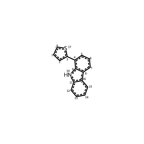 [c]1ccc(-c2cccc3c2[nH]c2ccccc23)s1